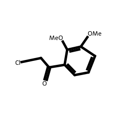 COc1cccc(C(=O)CCl)c1OC